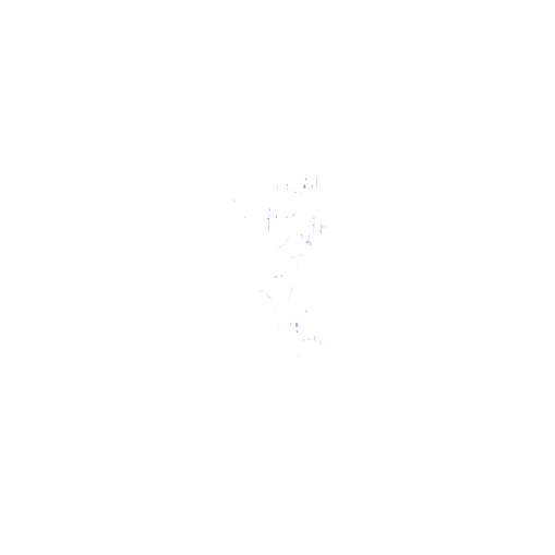 C[C@@H](Nc1c(C(N)=O)cnn2cc(-c3cccc(CNC(=O)C4CC4)c3)cc12)C1CC1